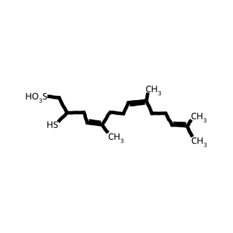 CC(C)=CCCC(C)=CCCC(C)=CCC(S)CS(=O)(=O)O